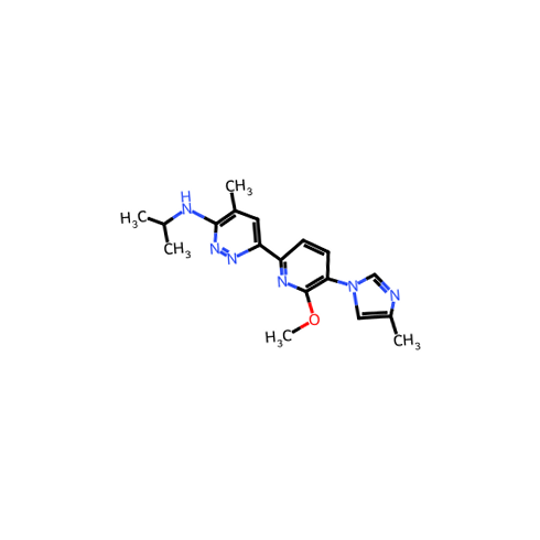 COc1nc(-c2cc(C)c(NC(C)C)nn2)ccc1-n1cnc(C)c1